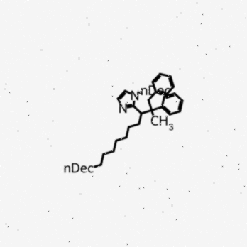 CCCCCCCCCCCCCCCCCC(c1nccn1CCCCCCCCCC)C(C)(Cc1ccccc1)c1ccccc1